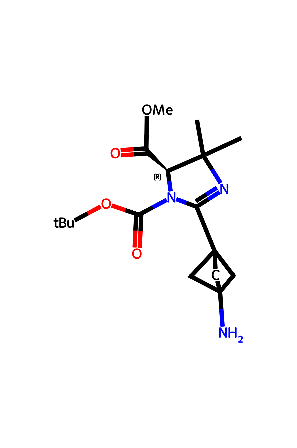 COC(=O)[C@@H]1N(C(=O)OC(C)(C)C)C(C23CC(N)(C2)C3)=NC1(C)C